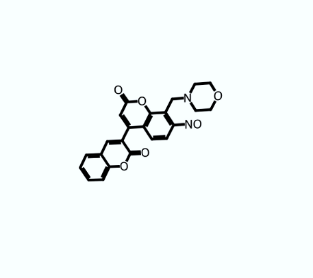 O=Nc1ccc2c(-c3cc4ccccc4oc3=O)cc(=O)oc2c1CN1CCOCC1